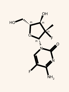 C[C@]1(F)[C@H](O)[C@@H](CO)O[C@H]1n1cc(F)c(N)nc1=O